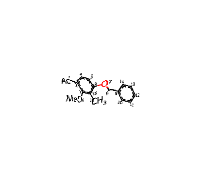 COc1c(C(C)=O)ccc(OCc2ccccc2)c1C